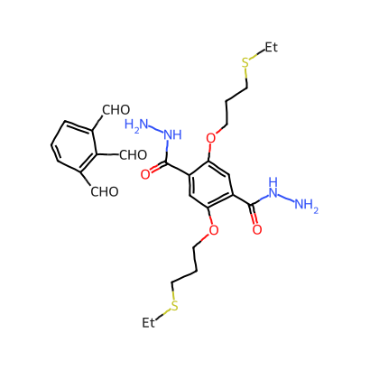 CCSCCCOc1cc(C(=O)NN)c(OCCCSCC)cc1C(=O)NN.O=Cc1cccc(C=O)c1C=O